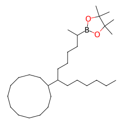 CCCCCCC(CCCCC(C)B1OC(C)(C)C(C)(C)O1)C1CCCCCCCCCCC1